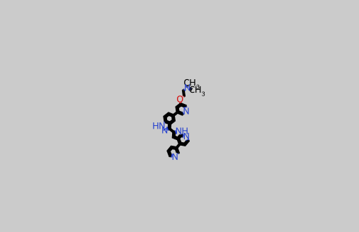 CN(C)CCOc1cncc(-c2ccc3[nH]nc(-c4cc5c(-c6cccnc6)ccnc5[nH]4)c3c2)c1